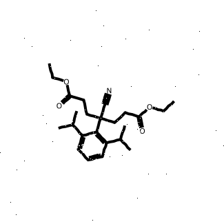 CCOC(=O)CCC(C#N)(CCC(=O)OCC)c1c(C(C)C)cccc1C(C)C